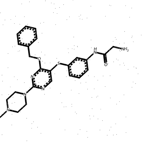 CN1CCN(c2ncc(Sc3cccc(NC(=O)CN)c3)c(OCc3ccccc3)n2)CC1